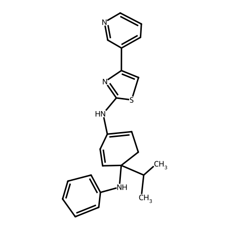 CC(C)C1(Nc2ccccc2)C=CC(Nc2nc(-c3cccnc3)cs2)=CC1